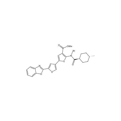 COC(=O)c1cc(-c2coc(-c3nc4ccccc4o3)c2)sc1N(C(=O)[C@H]1CC[C@H](C)CC1)C(C)C